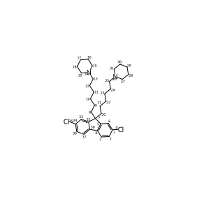 Clc1ccc2c(c1)C(CCCCCCN1CCCCC1)(CCCCCCN1CCCCC1)c1cc(Cl)ccc1-2